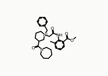 COC(=O)c1cccc(C)c1NC(=O)C[N+]1(Cc2ccccc2)CCCC(C(=O)N2CCCCCC2)C1